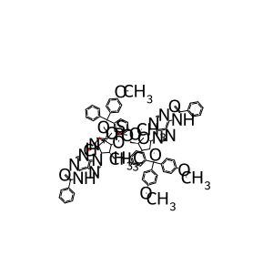 [C-]#[N+]CCOP(=S)(OC[C@H]1O[C@@H](n2cnc3c(NC(=O)c4ccccc4)ncnc32)[C@H](OC(c2ccccc2)(c2ccc(OC)cc2)c2ccc(OC)cc2)[C@@H]1C)O[C@H]1[C@@H](C)[C@H](n2cnc3c(NC(=O)c4ccccc4)ncnc32)[C@H]2C[C@@]21COC(c1ccccc1)(c1ccc(OC)cc1)c1ccc(OC)cc1